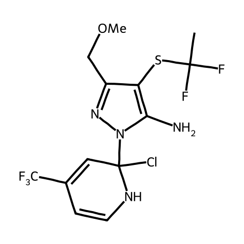 COCc1nn(C2(Cl)C=C(C(F)(F)F)C=CN2)c(N)c1SC(C)(F)F